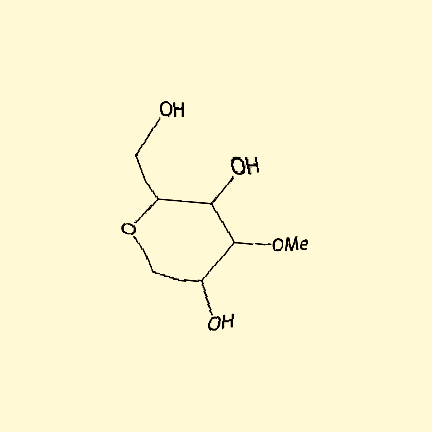 COC1C(O)COC(CO)C1O